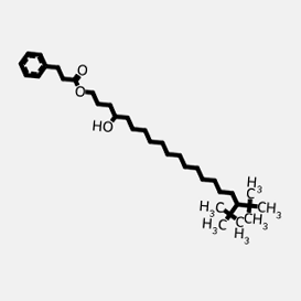 CC(C)(C)C(CCCCCCCCCCCCCC(O)CCCOC(=O)CCc1ccccc1)C(C)(C)C